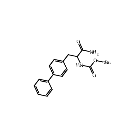 CC(C)(C)OC(=O)NC(Cc1ccc(-c2ccccc2)cc1)C(N)=O